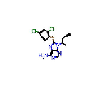 C#CCC(C)n1c(Sc2ccc(Cl)cc2Cl)nc2c(N)ncnc21